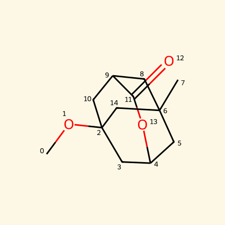 COC12CC3CC(C)(CC(C1)C(=O)O3)C2